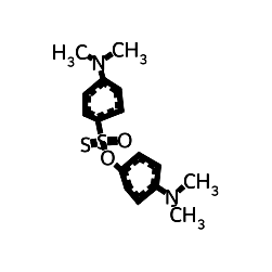 CN(C)c1ccc(OS(=O)(=S)c2ccc(N(C)C)cc2)cc1